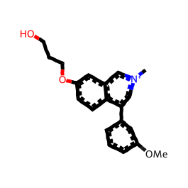 COc1cccc(-c2c[n+](C)cc3cc(OCCCO)ccc23)c1